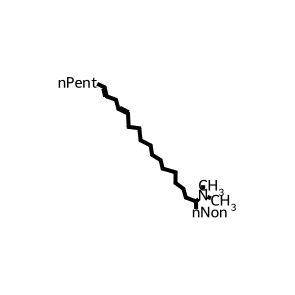 CCCCC/C=C/C/C=C/CCCCCCCCCCCC(CCCCCCCCC)N(C)C